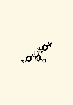 COc1ccc(Oc2ncc(Cl)cc2NS(=O)(=O)c2ccc(C(C)(C)C)cc2)cc1